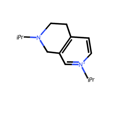 CC(C)N1CCc2cc[n+](C(C)C)cc2C1